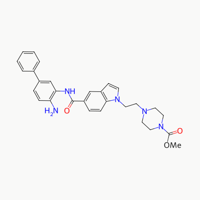 COC(=O)N1CCN(CCn2ccc3cc(C(=O)Nc4cc(-c5ccccc5)ccc4N)ccc32)CC1